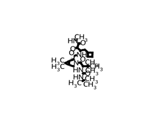 CNC(=O)C(=O)C(CC1CCC1)NC(=O)[C@@H]1C2C(CN1C(=O)C(NC(=O)NC(C)(C)C)C(C)(C)C)C2(C)C